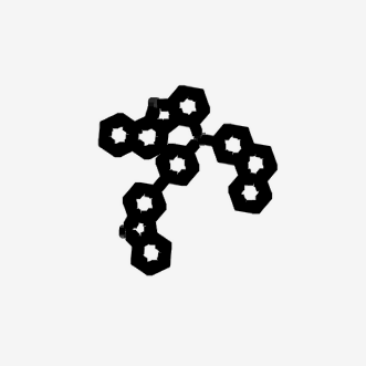 c1ccc2c(c1)ccc1ccc(N(c3ccc(-c4ccc5oc6ccccc6c5c4)cc3)c3cccc4oc5c6ccccc6ccc5c34)cc12